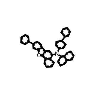 c1ccc(-c2ccc(N(c3cccc4ccccc34)c3cc4c5ccc(-c6ccccc6)cc5oc4c4ccccc34)cc2)cc1